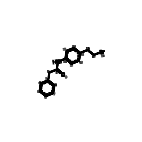 O=C(Cc1ccccc1)Nc1ccc(CCBr)cc1